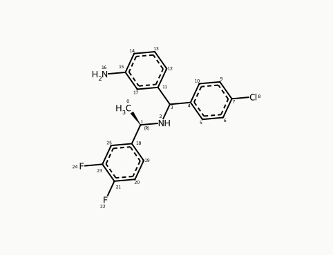 C[C@@H](NC(c1ccc(Cl)cc1)c1cccc(N)c1)c1ccc(F)c(F)c1